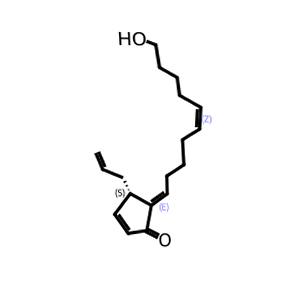 C=CC[C@H]1C=CC(=O)/C1=C/CCC/C=C\CCCCO